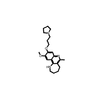 COc1cc2c3c(c(C)nc2cc1OCCCN1CCCC1)CCCCN3